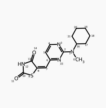 CN(c1nccc(C=C2SC(=O)NC2=O)n1)C1CCCCC1